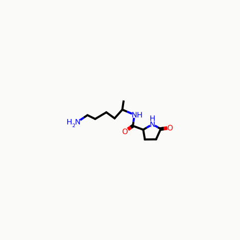 CC(CCCCN)NC(=O)C1CCC(=O)N1